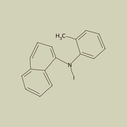 Cc1ccccc1N(I)c1cccc2ccccc12